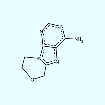 Nc1ncnc2c1nc1n2CCOC1